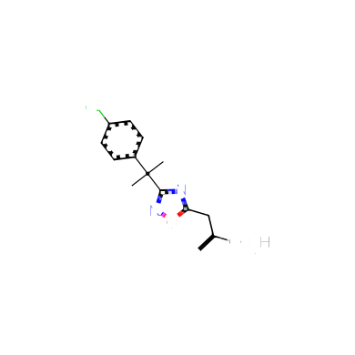 C=C(Cc1nc(C(C)(C)c2ccc(Cl)cc2)no1)C(=O)O